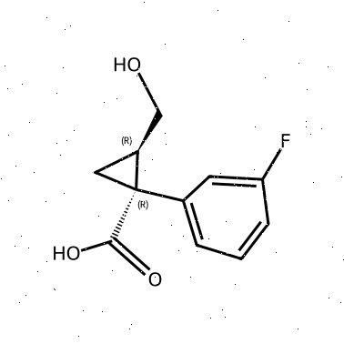 O=C(O)[C@]1(c2cccc(F)c2)C[C@H]1CO